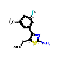 CNCc1sc(N)nc1-c1cc(F)cc(C(F)(F)F)c1